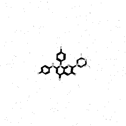 C[C@@H]1CN(c2nc3c(cc2F)c(=O)cc(Nc2ccc(F)cc2)n3-c2ccc(F)cc2)C[C@H](C)O1